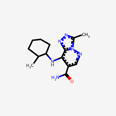 Cc1nnc2c(NC3CCCCC3C)c(C(N)=O)cnn12